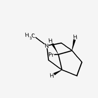 CC(C)[C@H]1[C@@H]2CC[C@H]1CN(C)C2